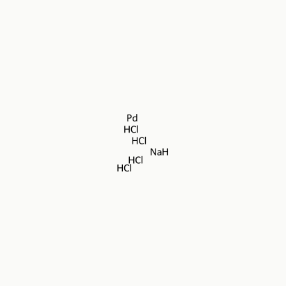 Cl.Cl.Cl.Cl.[NaH].[Pd]